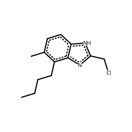 CCCCc1c(C)ccc2[nH]c(CCl)nc12